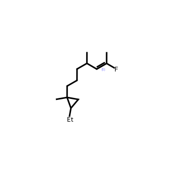 CCC1CC1(C)CCCC(C)/C=C(\C)F